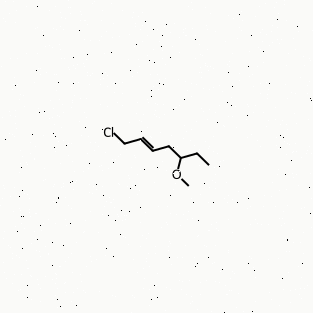 CCC(C/C=C/CCl)OC